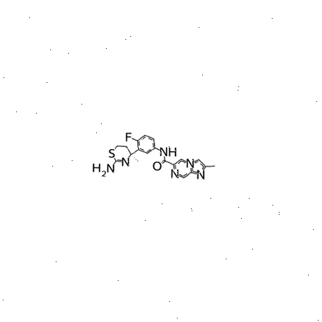 Cc1cn2cc(C(=O)Nc3ccc(F)c([C@]4(C)CCSC(N)=N4)c3)ncc2n1